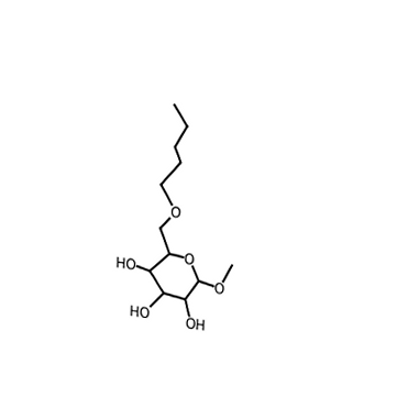 CCCCCOCC1OC(OC)C(O)C(O)C1O